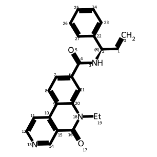 C=C[C@@H](NC(=O)c1ccc2c3ccncc3c(=O)n(CC)c2c1)c1ccccc1